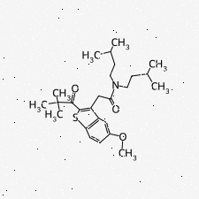 COc1ccc2sc(C(=O)C(C)(C)C)c(CC(=O)N(CCC(C)C)CCC(C)C)c2c1